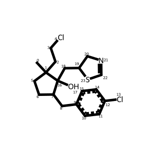 CC1(CCCl)CCC(Cc2ccc(Cl)cc2)C1(O)CC1CN=CS1